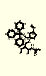 C=C[C@H]1CC[C@@](CCC(CC)C(C)NC(C)=O)(COC(c2ccccc2)(c2ccccc2)c2ccccc2)C1